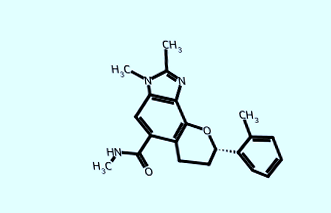 CNC(=O)c1cc2c(nc(C)n2C)c2c1CC[C@@H](c1ccccc1C)O2